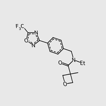 CCN(Cc1ccc(-c2noc(C(F)(F)F)n2)cc1)C(=O)C1(C)COC1